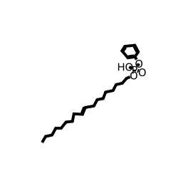 CCCCCCCCC=CCCCCCCCCOP(=O)(O)Oc1ccccc1